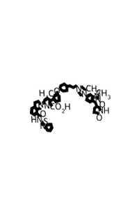 Cc1c(OC2CCC(CCCN3CCN(c4ccc5c(C6CCC(=O)NC6=O)nn(C)c5c4)C(C)C3)CC2)cccc1-c1ccc(N2CCc3cccc(C(=O)Nc4nc5ccccc5s4)c3C2)nc1C(=O)O